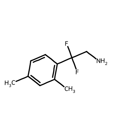 Cc1ccc(C(F)(F)CN)c(C)c1